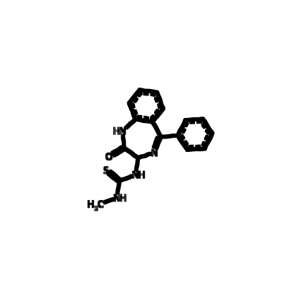 CNC(=S)NC1N=C(c2ccccc2)c2ccccc2NC1=O